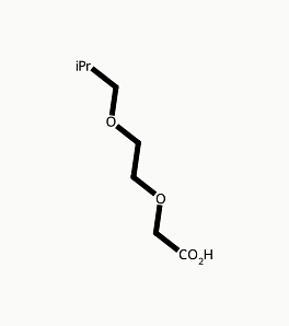 CC(C)COCCOCC(=O)O